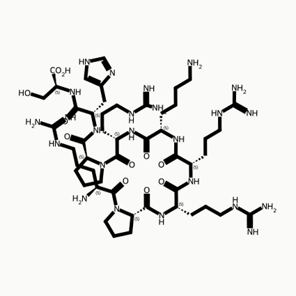 N=C(N)NCCC[C@H](NC(=O)[C@H](CCCNC(=N)N)NC(=O)[C@@H]1CCCN1C(=O)[C@@H](N)CCCNC(=N)N)C(=O)N[C@@H](CCCCN)C(=O)N[C@@H](CCCNC(=N)N)C(=O)N1CCC[C@H]1C(=O)N[C@@H](Cc1c[nH]cn1)C(=O)N[C@@H](CO)C(=O)O